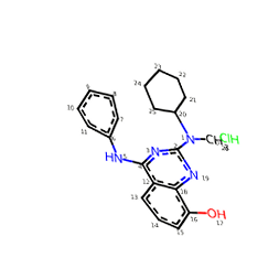 CN(c1nc(Nc2ccccc2)c2cccc(O)c2n1)C1CCCCC1.Cl